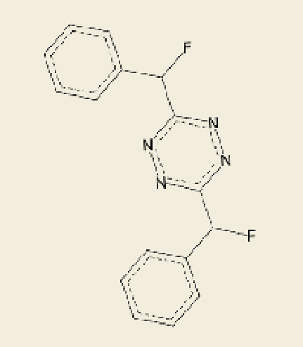 FC(c1ccccc1)c1nnc(C(F)c2ccccc2)nn1